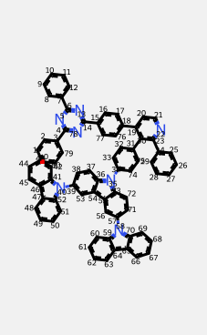 c1ccc(-c2nc(-c3ccccc3)nc(-c3ccc(-c4ccnc(-c5ccccc5)c4-c4ccc(-n5c6ccc(-n7c8ccccc8c8ccccc87)cc6c6cc(-n7c8ccccc8c8ccccc87)ccc65)cc4)cc3)n2)cc1